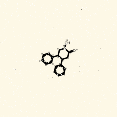 O=C1CC(c2ccccc2)C(c2ccccc2)CN1O